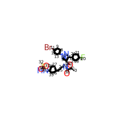 C[C@@H]1O[C@@H](c2cn(-c3ccc(Br)cc3)nc2-c2ccc(F)cc2)N(CCc2ccc(NS(C)(=O)=O)cc2)C1=O